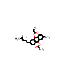 C=CC(=O)Oc1c2c(c(OC(C)=O)c3cc(C)ccc13)CC=C(CCC=C(C)C)C2